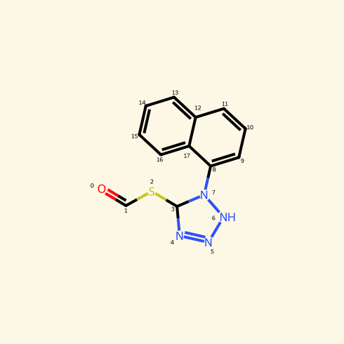 O=CSC1N=NNN1c1cccc2ccccc12